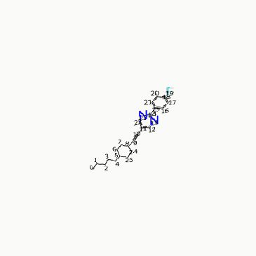 CCCCCC1CCC(C#Cc2cnc(-c3ccc(F)cc3)nc2)CC1